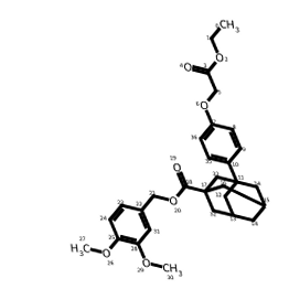 CCOC(=O)COc1ccc(C23CC4CC(CC(C(=O)OCc5ccc(OC)c(OC)c5)(C4)C2)C3)cc1